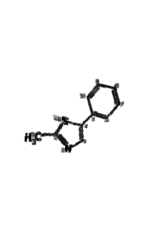 Cc1ncc(-c2cc[c]cc2)s1